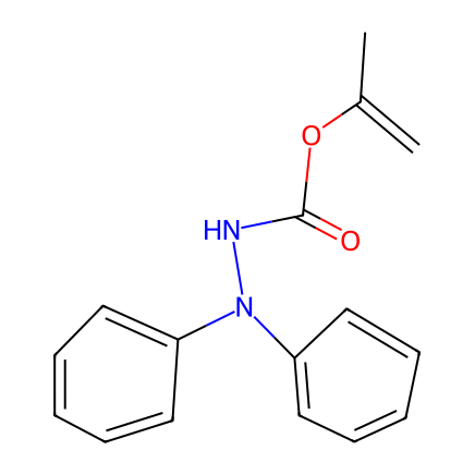 C=C(C)OC(=O)NN(c1ccccc1)c1ccccc1